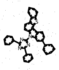 c1ccc(-c2ccc3c4c5sc6ccccc6c5ccc4n(-c4nc(-c5ccccc5)nc(-c5ccccc5)n4)c3c2)cc1